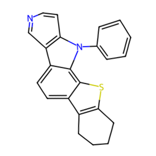 c1ccc(-n2c3ccncc3c3ccc4c5c(sc4c32)CCCC5)cc1